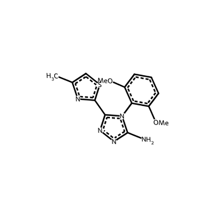 COc1cccc(OC)c1-n1c(N)nnc1-c1nc(C)cs1